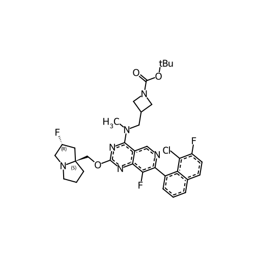 CN(CC1CN(C(=O)OC(C)(C)C)C1)c1nc(OC[C@@]23CCCN2C[C@H](F)C3)nc2c(F)c(-c3cccc4ccc(F)c(Cl)c34)ncc12